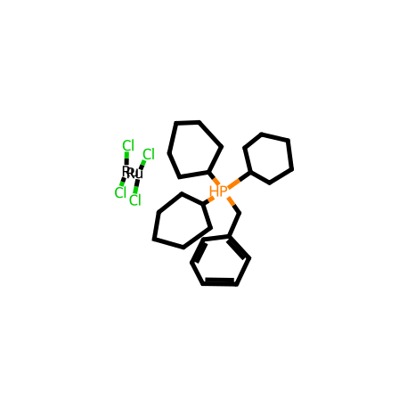 [Cl][Ru][Cl].[Cl][Ru][Cl].c1ccc(C[PH](C2CCCCC2)(C2CCCCC2)C2CCCCC2)cc1